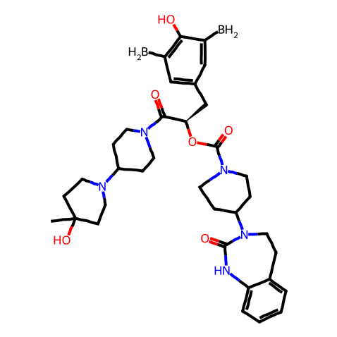 Bc1cc(C[C@@H](OC(=O)N2CCC(N3CCc4ccccc4NC3=O)CC2)C(=O)N2CCC(N3CCC(C)(O)CC3)CC2)cc(B)c1O